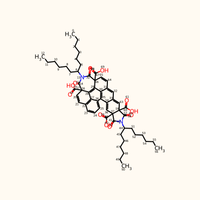 CCCCCCC(CCCCCC)N1C(=O)C2(C(=O)O)C=Cc3cccc4c3c2c2c3c(cc5c(c34)=CC3(C(=O)O)C(=O)N(C(CCCCCC)CCCCCC)C(=O)C3(C(=O)O)C=5)C=CC2(C(=O)O)C1=O